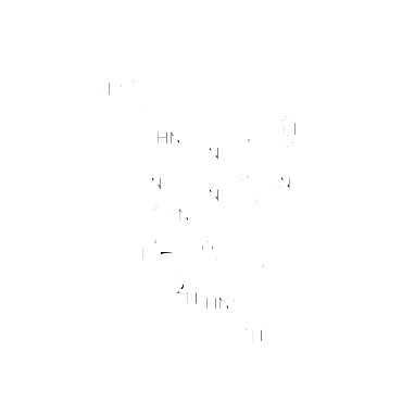 CCNC(=O)[C@H]1O[C@@H](n2cnc3c(NCc4cccc(Cl)c4)nc(-c4cncc(Cl)c4)nc32)[C@H](O)[C@@H]1O